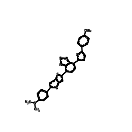 CC(C)COc1ccc(-c2ccc(-c3ccc(-c4cc5sc(-c6ccc(N(C)C)cc6)cc5s4)c4nsnc34)s2)cc1